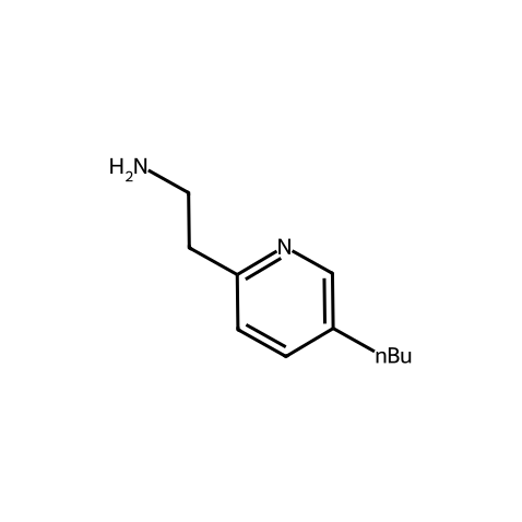 CCCCc1ccc(CCN)nc1